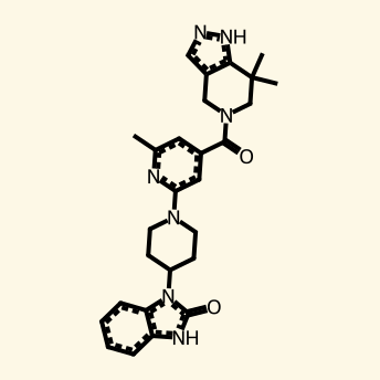 Cc1cc(C(=O)N2Cc3cn[nH]c3C(C)(C)C2)cc(N2CCC(n3c(=O)[nH]c4ccccc43)CC2)n1